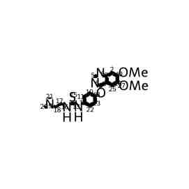 COc1cc2ncnc(Oc3ccc(NC(=S)NCCN(C)C)cc3)c2cc1OC